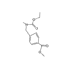 CCOC(=O)N(C)Cc1ccc(C(=O)OC)cc1